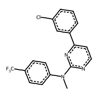 CN(c1ccc(C(F)(F)F)cc1)c1nccc(-c2cccc(Cl)c2)n1